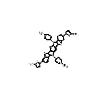 Cc1ccc(-n2c3cc4c5sc6cc(-c7ccc(C)s7)ccc6c5n(-c5ccc(C)cc5)c4cc3c3sc4cc(-c5ccc(C)s5)ccc4c32)cc1